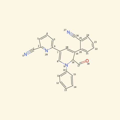 N#Cc1cccc(C2=CN(c3ccccc3)C(C=O)C(c3ccccc3C#N)=C2)n1